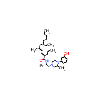 C=C/C=C\C=C(/C=C)C/C(C)=C/C=C(\CC=C)C(=O)N[C@H](CN1CCN(c2cccc(O)c2)C(=C)C1)C(C)C